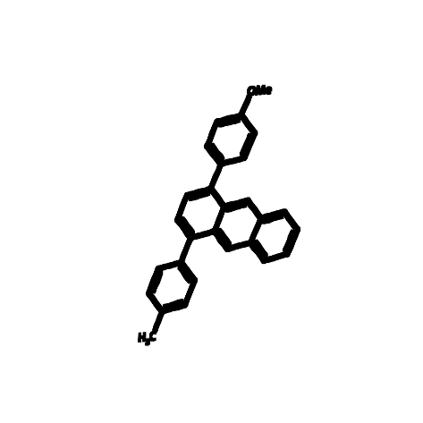 COc1ccc(-c2ccc(-c3ccc(C)cc3)c3cc4ccccc4cc23)cc1